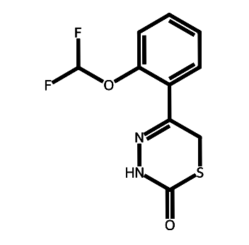 O=C1NN=C(c2ccccc2OC(F)F)CS1